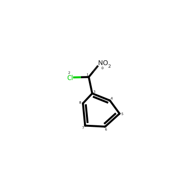 O=[N+]([O-])C(Cl)c1ccccc1